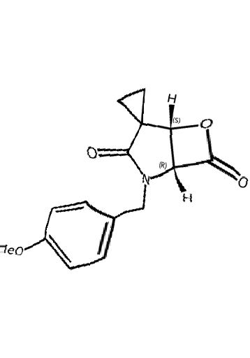 COc1ccc(CN2C(=O)C3(CC3)[C@@H]3OC(=O)[C@@H]32)cc1